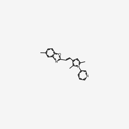 Cc1ccc2oc(/C=C/c3cc(C)n(-c4cccnc4)c3C)nc2c1